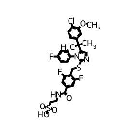 COc1cc(C(C)(C)c2cnc(SCc3c(F)cc(C(=O)NCCS(=O)(=O)O)cc3F)n2-c2ccc(F)cc2)ccc1Cl